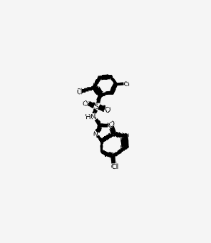 O=S(=O)(Nc1nc2cc(Cl)ccc2o1)c1cc(Cl)ccc1Cl